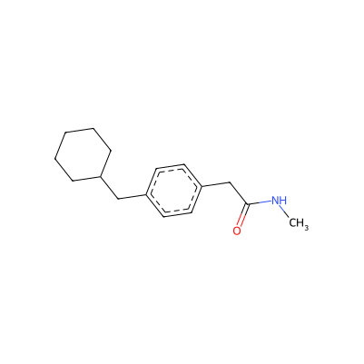 CNC(=O)Cc1ccc(CC2CCCCC2)cc1